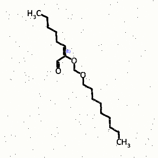 CCCCC/C=C(\C=O)OCOCCCCCCCCC